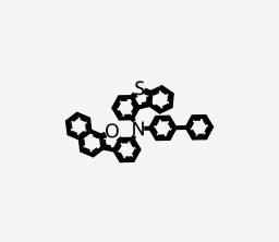 c1ccc(-c2ccc(N(c3cccc4c3oc3c5ccccc5ccc43)c3cccc4sc5ccccc5c34)cc2)cc1